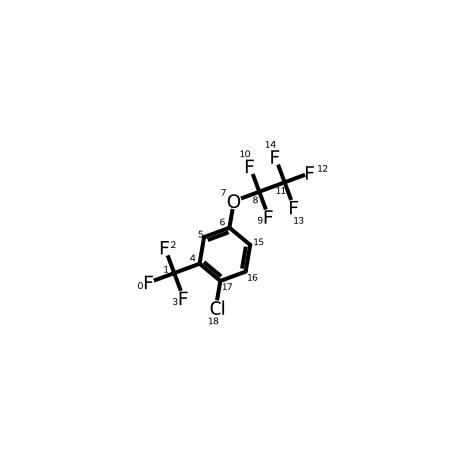 FC(F)(F)c1cc(OC(F)(F)C(F)(F)F)ccc1Cl